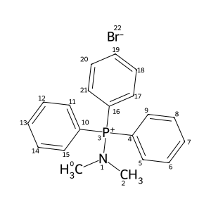 CN(C)[P+](c1ccccc1)(c1ccccc1)c1ccccc1.[Br-]